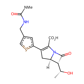 CNC(=O)NCc1csc(C2=C(C(=O)O)N3C(=O)[C@H]([C@@H](C)O)[C@H]3C2)c1